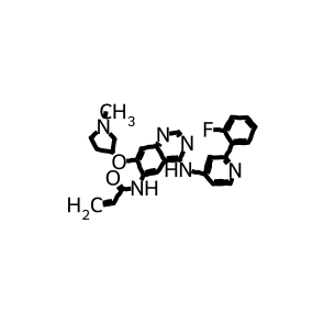 C=CC(=O)Nc1cc2c(Nc3ccnc(-c4ccccc4F)c3)ncnc2cc1OC1CCN(C)C1